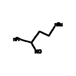 CCCCCCC(CCC)N=O